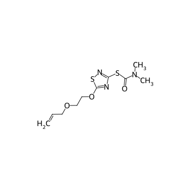 C=CCOCCOc1nc(SC(=O)N(C)C)ns1